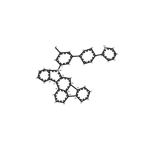 Cc1cc(-c2ccc(-c3ccccn3)cc2)cc(-n2c3ccccc3c3c4cccc5c4c(cc32)-c2ccccc2-5)c1